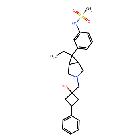 CCC1(c2cccc(NS(C)(=O)=O)c2)C2CN(CC3(O)CC(c4ccccc4)C3)CC21